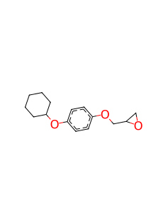 c1cc(OC2CCCCC2)ccc1OCC1CO1